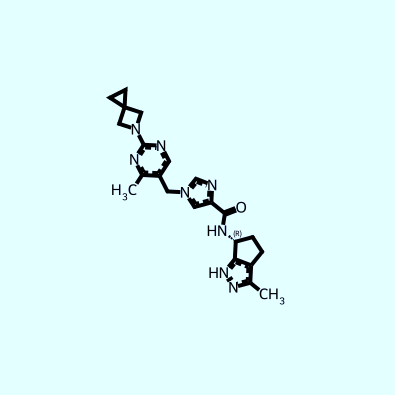 Cc1nc(N2CC3(CC3)C2)ncc1Cn1cnc(C(=O)N[C@@H]2CCc3c(C)n[nH]c32)c1